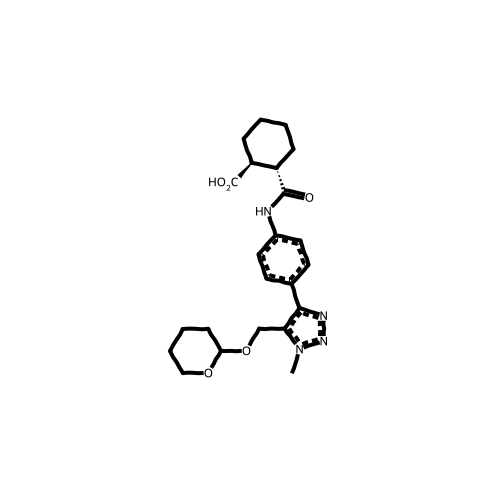 Cn1nnc(-c2ccc(NC(=O)[C@H]3CCCC[C@@H]3C(=O)O)cc2)c1COC1CCCCO1